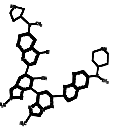 Cc1cn2nc(-c3ccc4cc(N(C)C5CCNCC5)cnc4n3)cc(-c3c(O)c(-c4cc(Cl)c5cc(N(C)C6CCNC6)cnc5n4)cc4cn(C)nc34)c2n1